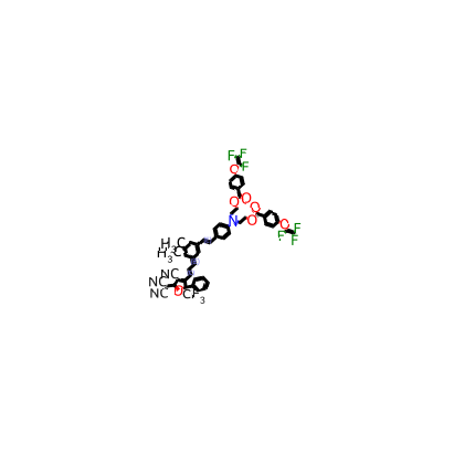 CC1(C)CC(/C=C/c2ccc(N(CCOC(=O)c3ccc(OC(F)=C(F)F)cc3)CCOC(=O)c3ccc(OC(F)=C(F)F)cc3)cc2)=CC(=C/C=C/C2=C(C#N)C(=C(C#N)C#N)OC2(c2ccccc2)C(F)(F)F)/C1